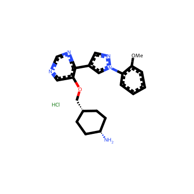 COc1ccccc1-n1cc(-c2ncncc2OC[C@H]2CC[C@@H](N)CC2)cn1.Cl